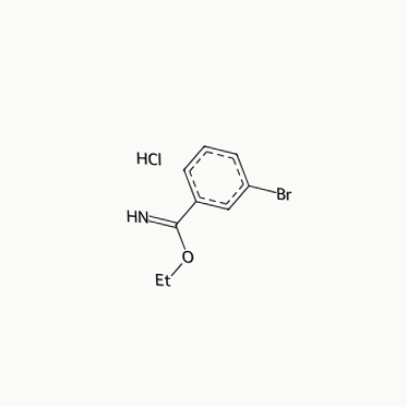 CCOC(=N)c1cccc(Br)c1.Cl